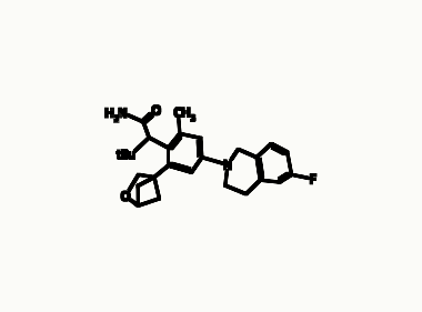 Cc1cc(N2CCc3cc(F)ccc3C2)cc(C23COC(C2)C3)c1C(C(N)=O)C(C)(C)C